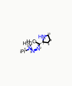 CC(/N=N\N(C)C(C)C)[C@H]1CCCN1